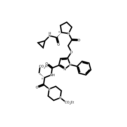 CCOC(=O)N1CCN(C(=O)[C@H](CC(=O)O)NC(=O)c2cc(OCC(=O)N3CCC[C@H]3C(=O)NC3CC3)n(-c3ccccc3)n2)CC1